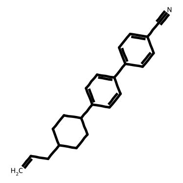 C=CCC1CCC(c2ccc(-c3ccc(C#N)cc3)cc2)CC1